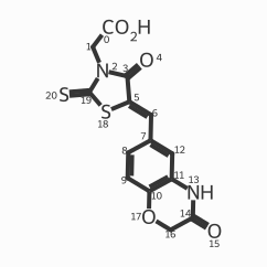 O=C(O)CN1C(=O)/C(=C/c2ccc3c(c2)NC(=O)CO3)SC1=S